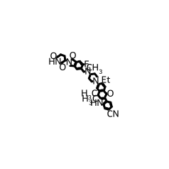 CCc1cc2c(cc1N1CCC(N(C)Cc3cc4c(cc3F)C(=O)N(C3CCC(=O)NC3=O)C4)CC1)C(C)(C)c1[nH]c3cc(C#N)ccc3c1C2=O